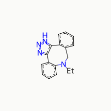 CCN1Cc2ccccc2-c2[nH]nnc2-c2ccccc21